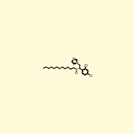 CCCCCCCCCCCC[S+]([O-])C(Cn1ccnc1)c1ccc(Cl)cc1Cl